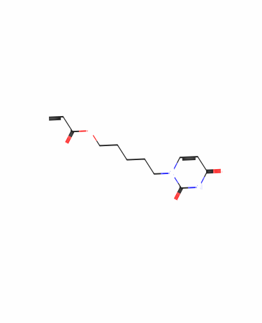 C=CC(=O)OCCCCCn1ccc(=O)[nH]c1=O